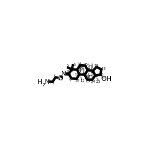 CC1(C)/C(=N/OCCN)CC[C@@]2(C)C1CC[C@H]1[C@@H]3CC[C@H](O)[C@@]3(C)CC[C@@H]12